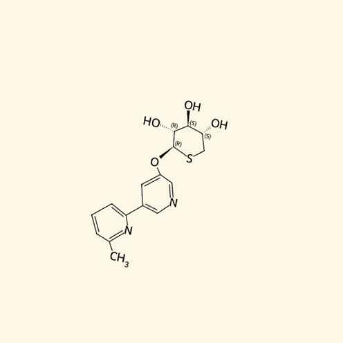 Cc1cccc(-c2cncc(O[C@@H]3SC[C@@H](O)[C@H](O)[C@H]3O)c2)n1